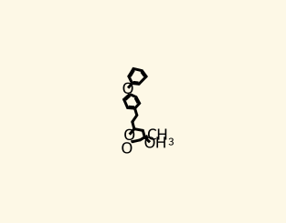 CC1(O)CC(=O)OC(CCc2ccc(Oc3ccccc3)cc2)C1